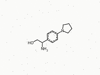 NC(CO)c1ccc(N2CCCC2)cc1